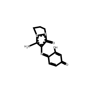 Nc1c(/N=C2/C=CC(=O)C=C2O)c(=O)n2n1CCC2